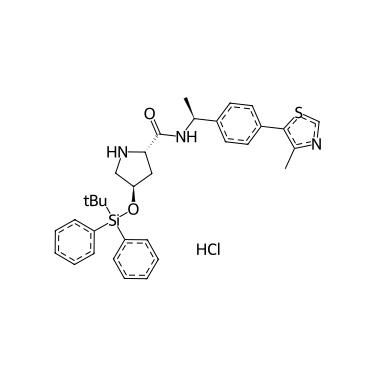 Cc1ncsc1-c1ccc([C@H](C)NC(=O)[C@@H]2C[C@@H](O[Si](c3ccccc3)(c3ccccc3)C(C)(C)C)CN2)cc1.Cl